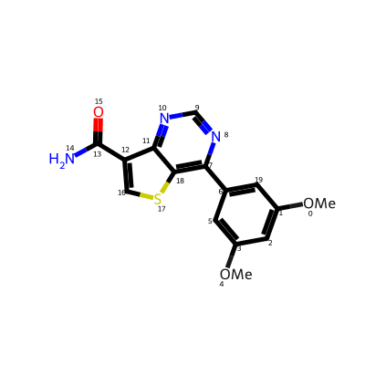 COc1cc(OC)cc(-c2ncnc3c(C(N)=O)csc23)c1